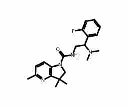 Cc1ccc2c(n1)C(C)(C)CN2C(=O)NCC(c1ccccc1F)N(C)C